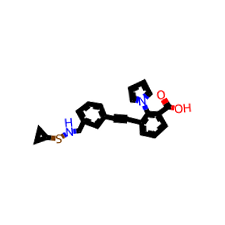 O=C(O)c1cccc(C#Cc2cccc(CNSC3CC3)c2)c1-n1cccc1